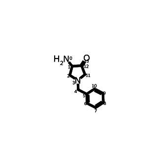 NC1CN(Cc2ccccc2)CC1=O